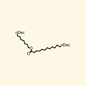 CCCCCCCCCCCCCCCCCCCCCC(=O)OCCCCCCCCCCCCCCCCC